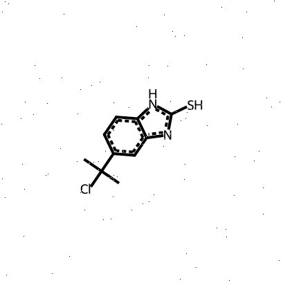 CC(C)(Cl)c1ccc2[nH]c(S)nc2c1